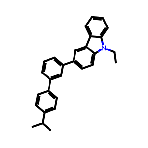 CCn1c2ccccc2c2cc(-c3cccc(-c4ccc(C(C)C)cc4)c3)ccc21